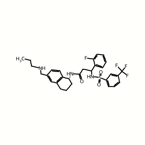 CCCNCc1ccc2c(c1)CCC[C@H]2NC(=O)CC(NS(=O)(=O)c1cccc(C(F)(F)F)c1)c1ccccc1F